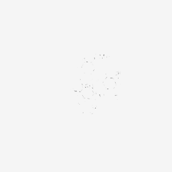 COc1ccc(Cn2nc(Oc3c(Cl)cc(Br)cc3Cl)c3c(c2=O)CCCO3)cc1